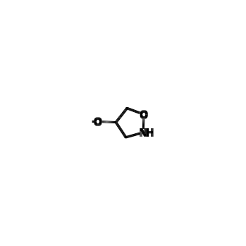 [O]C1CNOC1